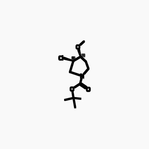 CO[C@H]1CCN(C(=O)OC(C)(C)C)C[C@H]1Cl